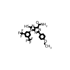 CCOc1ccc(-c2nc(C(N)=O)c3nc(S)n(-c4cc(C(F)(F)F)cc(C(F)(F)F)c4)c3n2)cc1